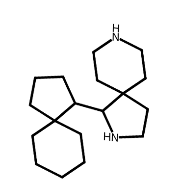 C1CCC2(CC1)CCCC2C1NCCC12CCNCC2